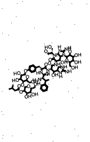 CC(C)CC(=O)OC1C(OC2C(CO)OC(Oc3ccc(C[C@H](NC(=O)[C@@H](N)C(C)c4ccccc4)C(=O)N[C@H](C(=O)N[C@H](C(=O)N[C@H]([C]=O)CO)C(O)C4CNC(=N)N4C4OC(CO)C(O)C(O)C4O)C(O)C4CNC(=N)N4)cc3)C(O)C2O)OC(CO)C(O)C1O